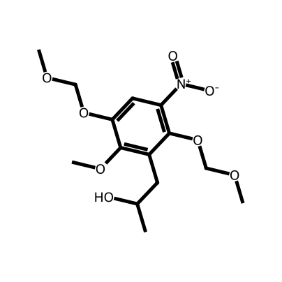 COCOc1cc([N+](=O)[O-])c(OCOC)c(CC(C)O)c1OC